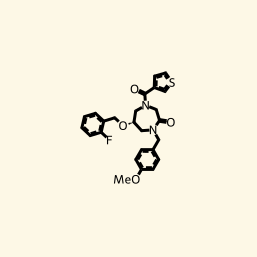 COc1ccc(CN2C[C@H](OCc3ccccc3F)CN(C(=O)c3ccsc3)CC2=O)cc1